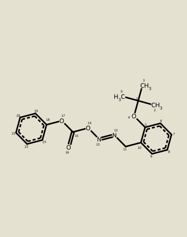 CC(C)(C)Oc1ccccc1CN=NOC(=O)Oc1ccccc1